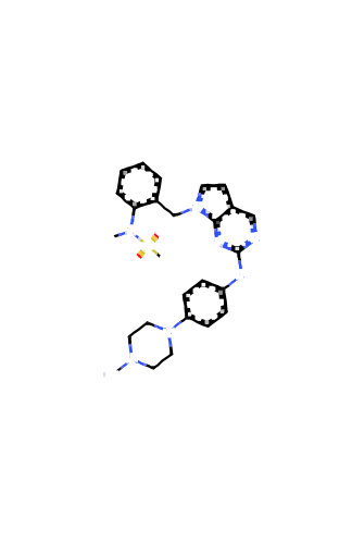 CC(C)N1CCN(c2ccc(Nc3ncc4ccn(Cc5ccccc5N(C)S(C)(=O)=O)c4n3)cc2)CC1